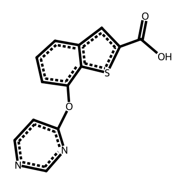 O=C(O)c1cc2cccc(Oc3ccncn3)c2s1